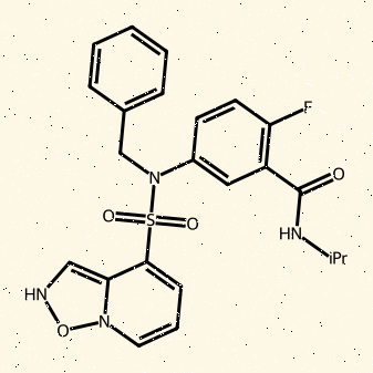 CC(C)NC(=O)c1cc(N(Cc2ccccc2)S(=O)(=O)C2=CC=CN3ONC=C23)ccc1F